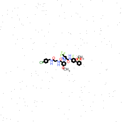 COc1ccc(-n2nc(C(F)(F)F)cc2C(=O)Nc2ccc(-c3ccccc3S(C)(=O)=O)cc2F)c(C(=O)NCCC(=O)NCc2ccc(Cl)cc2)c1